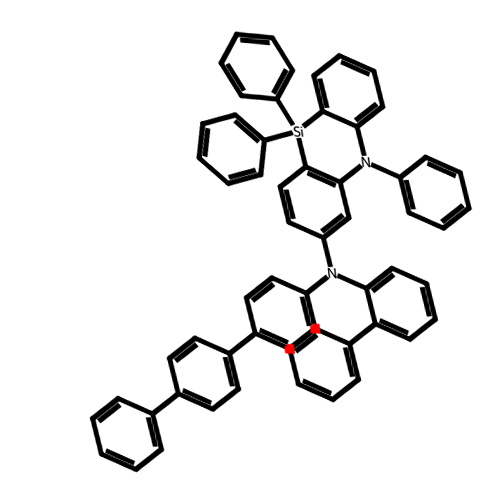 c1ccc(-c2ccc(-c3ccc(N(c4ccc5c(c4)N(c4ccccc4)c4ccccc4[Si]5(c4ccccc4)c4ccccc4)c4ccccc4-c4ccccc4)cc3)cc2)cc1